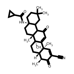 C[C@@H]1C(=O)C(C#N)=C[C@]2(C)C3=CC(=O)C4C5CC(C)(C)CC[C@]5(NC(=O)C5CC5)CC[C@@]4(C)[C@]3(C)CC[C@@H]12